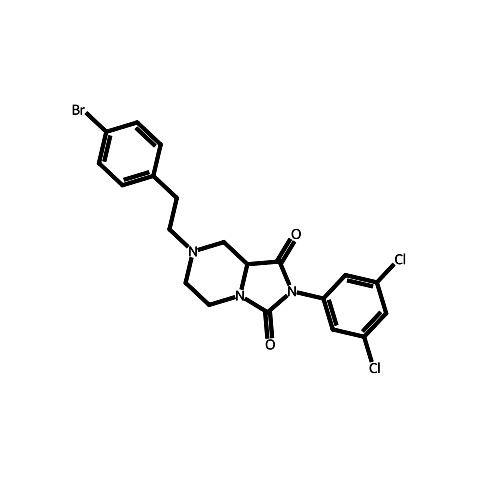 O=C1C2CN(CCc3ccc(Br)cc3)CCN2C(=O)N1c1cc(Cl)cc(Cl)c1